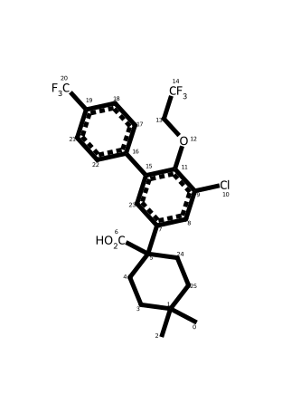 CC1(C)CCC(C(=O)O)(c2cc(Cl)c(OCC(F)(F)F)c(-c3ccc(C(F)(F)F)cc3)c2)CC1